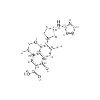 CN1COc2c(N3CC[C@H](Nc4nccs4)C3)c(F)cc3c(=O)c(C(=O)O)cn1c23